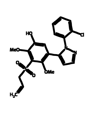 C=CCS(=O)(=O)c1c(OC)c(O)cc(-c2ccnn2-c2ccccc2Cl)c1OC